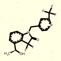 C[C@H](O)c1cccc2c1C(F)(F)C(=O)N2Cc1ccnc(C(F)(F)F)c1